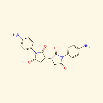 Nc1ccc(N2C(=O)CC(C3CC(=O)N(c4ccc(N)cc4)C3=O)C2=O)cc1